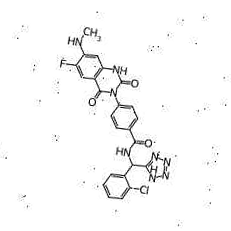 CNc1cc2[nH]c(=O)n(-c3ccc(C(=O)NC(c4nnn[nH]4)c4ccccc4Cl)cc3)c(=O)c2cc1F